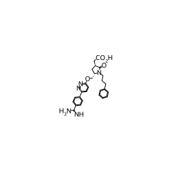 N=C(N)c1ccc(-c2ccc(OC[C@@H]3C[C@@H](CC(=O)O)C(=O)N3CCCc3ccccc3)nn2)cc1